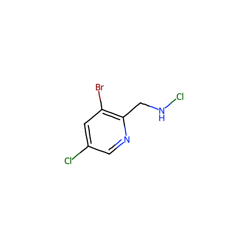 ClNCc1ncc(Cl)cc1Br